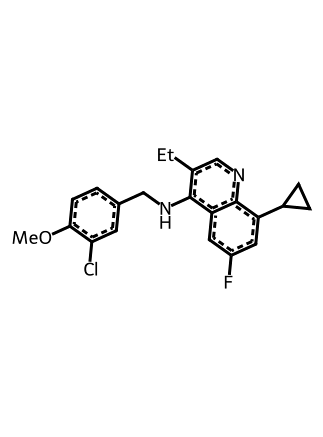 CCc1cnc2c(C3CC3)cc(F)cc2c1NCc1ccc(OC)c(Cl)c1